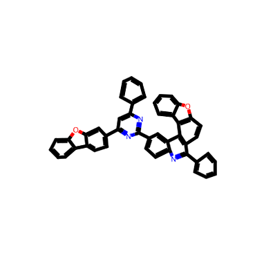 c1ccc(-c2cc(-c3ccc4c(c3)oc3ccccc34)nc(-c3ccc4nc(-c5ccccc5)c5ccc6oc7ccccc7c6c5c4c3)n2)cc1